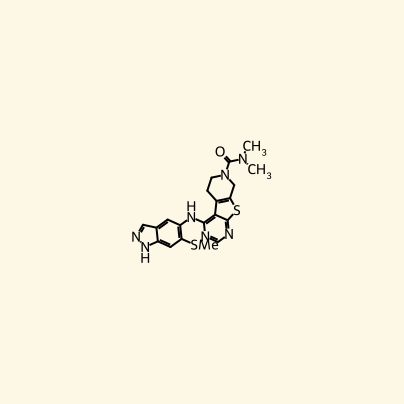 CSc1cc2[nH]ncc2cc1Nc1ncnc2sc3c(c12)CCN(C(=O)N(C)C)C3